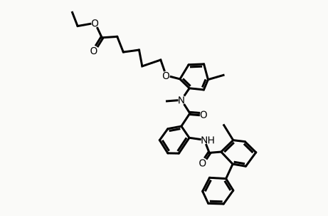 CCOC(=O)CCCCCOc1ccc(C)cc1N(C)C(=O)c1ccccc1NC(=O)c1c(C)cccc1-c1ccccc1